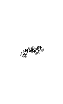 CN1CCCC(CN2CCN(C(=O)Nc3ccc(Cl)c(C(F)(F)F)c3)CC2)C1